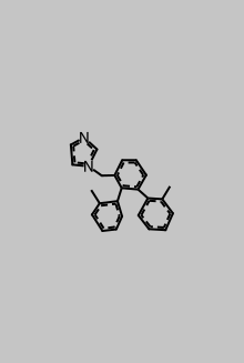 Cc1ccccc1-c1cccc(Cn2ccnc2)c1-c1ccccc1C